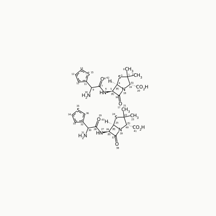 CC1(C)S[C@@H]2[C@H](NC(=O)C(N)c3cccs3)C(=O)N2[C@H]1C(=O)O.CC1(C)S[C@@H]2[C@H](NC(=O)C(N)c3ccsc3)C(=O)N2[C@H]1C(=O)O